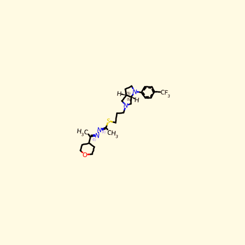 C/C(=N\N=C(/C)C1CCOCC1)SCCCN1C[C@@H]2CCN(c3ccc(C(F)(F)F)cc3)[C@@H]2C1